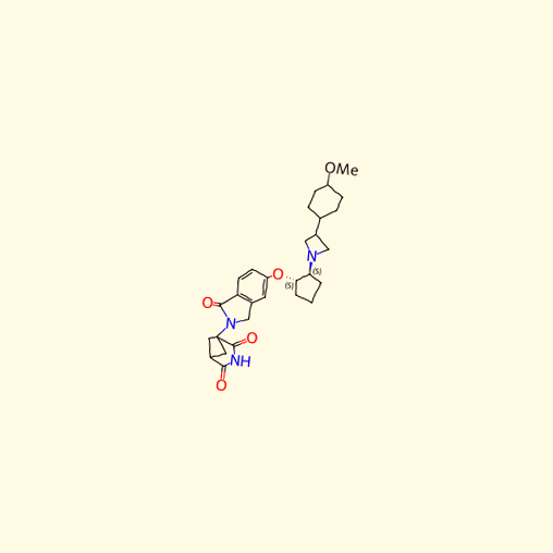 COC1CCC(C2CN([C@H]3CCC[C@@H]3Oc3ccc4c(c3)CN(C35CC(C3)C(=O)NC5=O)C4=O)C2)CC1